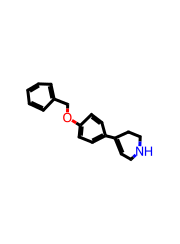 C1=C(c2ccc(OCc3ccccc3)cc2)CCNC1